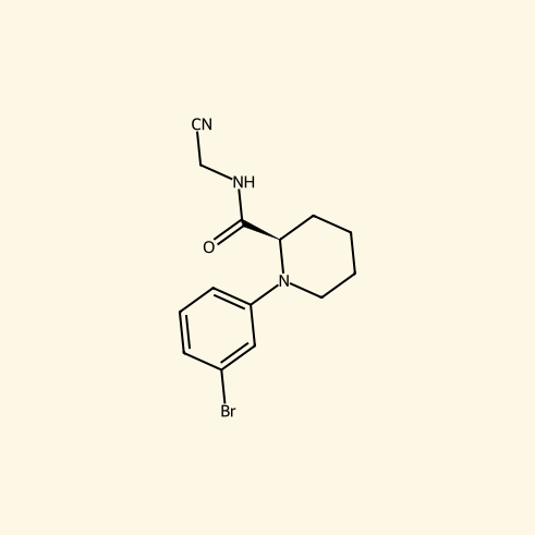 N#CCNC(=O)[C@H]1CCCCN1c1cccc(Br)c1